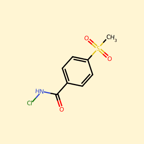 CS(=O)(=O)c1ccc(C(=O)NCl)cc1